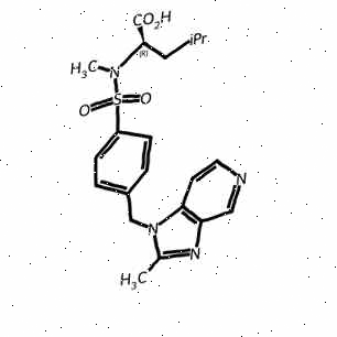 Cc1nc2cnccc2n1Cc1ccc(S(=O)(=O)N(C)[C@H](CC(C)C)C(=O)O)cc1